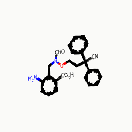 N#CC(CCON(C=O)Cc1c(N)cccc1C(=O)O)(c1ccccc1)c1ccccc1